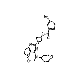 CC(=O)c1cccc(C(=O)OC2CN(c3nc4c(c(N(C)C5CCOCC5)n3)[S+]([O-])CC4)C2)c1